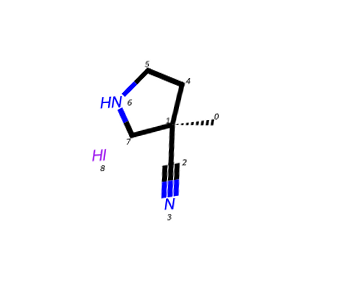 C[C@@]1(C#N)CCNC1.I